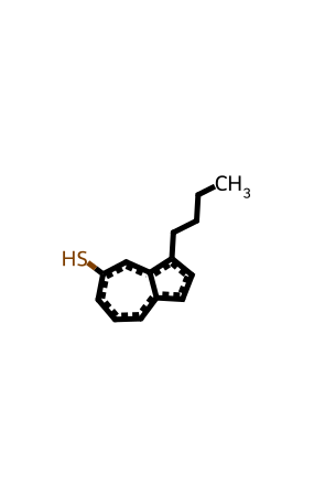 CCCCc1ccc2cccc(S)cc1-2